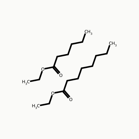 CCCCCC(=O)OCC.CCCCCCCC(=O)OCC